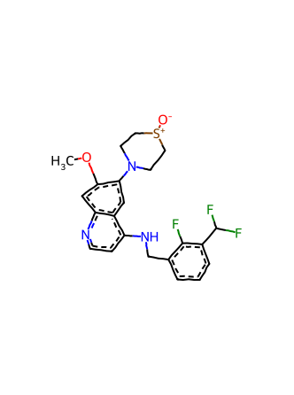 COc1cc2nccc(NCc3cccc(C(F)F)c3F)c2cc1N1CC[S+]([O-])CC1